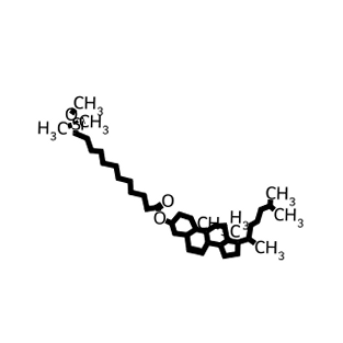 CO[Si](C)(C)CCCCCCCCCCCC(=O)OC1CCC2(C)C(C=CC3C2CCC2(C)C(C(C)CCCC(C)C)CCC32)C1